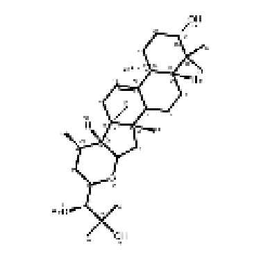 CC(=O)O[C@@H](C1C[C@@H](C)[C@H]2C(C[C@@]3(C)C4CC[C@H]5C(C)(C)[C@@H](O)CC[C@]5(C)C4=CC[C@]23C)O1)C(C)(C)O